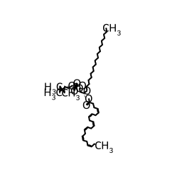 CC/C=C\C/C=C\C/C=C\C/C=C\C/C=C\C/C=C\CCC(=O)OC[C@H](COP(=O)([O-])OCC[N+](C)(C)C)OC(=O)CCCCCCCCCCCCCCCCCC